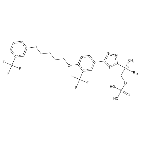 C[C@](N)(COP(=O)(O)O)c1nnc(-c2ccc(OCCCCOc3cccc(C(F)(F)F)c3)c(C(F)(F)F)c2)s1